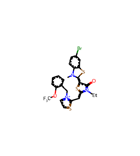 CCn1c(=O)/c(=C2\Sc3cc(Br)ccc3N2C)s/c1=C\c1scc[n+]1Cc1ccccc1OC(F)(F)F